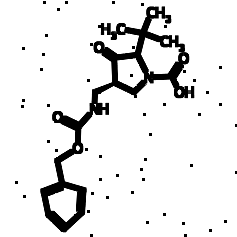 CC(C)(C)C1C(=O)[C@H](CNC(=O)OCc2ccccc2)CN1C(=O)O